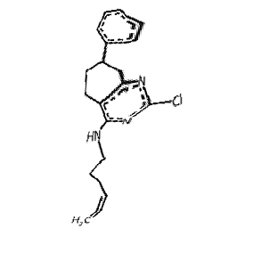 C=CCCNc1nc(Cl)nc2c1CCC2c1ccccc1